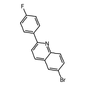 Fc1ccc(-c2ccc3cc(Br)ccc3n2)cc1